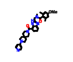 COc1cc(C)c(C(=O)N(C)Cc2nc3cccc(C(=O)N4CCC5(CC4)CCN(c4ccncc4)CC5)c3[nH]2)c(C)c1